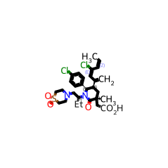 C=C(/C=C(Cl)\C=C/C)[C@H]1C[C@](C)(CC(=O)O)C(=O)N([C@@H](CC)CN2CCS(=O)(=O)CC2)[C@@H]1c1ccc(Cl)cc1